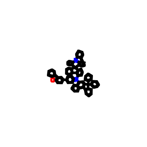 c1ccc(C2(c3ccccc3)c3ccccc3-c3c2cc(N(c2ccc(-c4ccc5oc6ccccc6c5c4)cc2)c2cccc4c2-c2ccccc2C42c4ccccc4-n4c5ccccc5c5cccc2c54)c2ccccc32)cc1